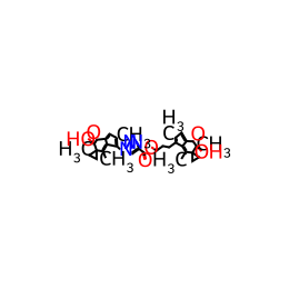 CC1=C(CCCOC(=O)c2cn(CC3=C(C)C=C4C(=O)[C@](C)(O)C5(CC5)C(C)=C43)nn2)C2=C(C)C3(CC3)[C@@](C)(O)C(=O)C2=C1